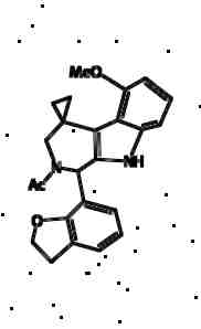 COc1cccc2[nH]c3c(c12)C1(CC1)CN(C(C)=O)C3c1cccc2c1OCC2